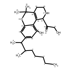 CCCCCC(C)C(C)c1cc(O)c2c(c1)OC(C)(C)C1=C2C(C(=O)CO)NCC1